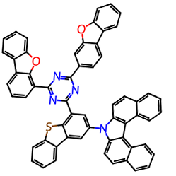 c1ccc2c(c1)ccc1c2c2c3ccccc3ccc2n1-c1cc(-c2nc(-c3ccc4c(c3)oc3ccccc34)nc(-c3cccc4c3oc3ccccc34)n2)c2sc3ccccc3c2c1